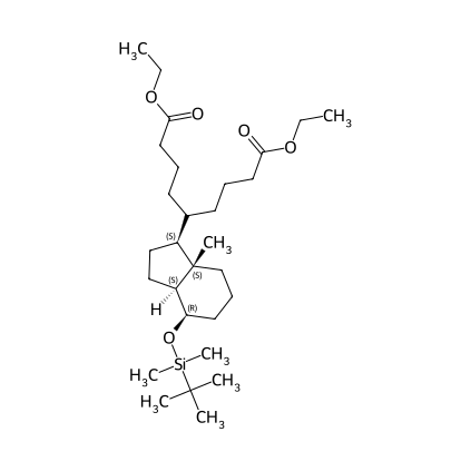 CCOC(=O)CCCC(CCCC(=O)OCC)[C@@H]1CC[C@@H]2[C@H](O[Si](C)(C)C(C)(C)C)CCC[C@]21C